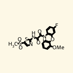 COc1ccccc1Oc1cc(F)ccc1NC(=O)C(=O)Nc1ncc(S(C)(=O)=O)s1